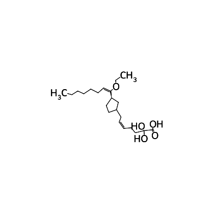 CCCCCC/C=C(/OCC)[C@@H]1CCC(C/C=C\CCC(O)(O)C(=O)O)C1